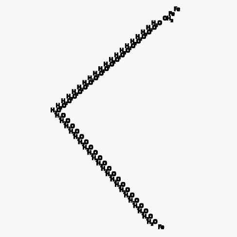 O.O.O.O.O.O.O.O.O.O.O.O.O.O.O.O.O.O.O.O.O.O.O.O.O.O.O.O.O.O.O.O.O.O.O.O.O.O.O.O.O.O.[Fe].[Fe].[Fe]